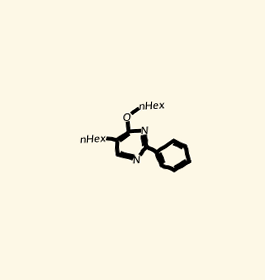 CCCCCCOc1nc(-c2ccccc2)ncc1CCCCCC